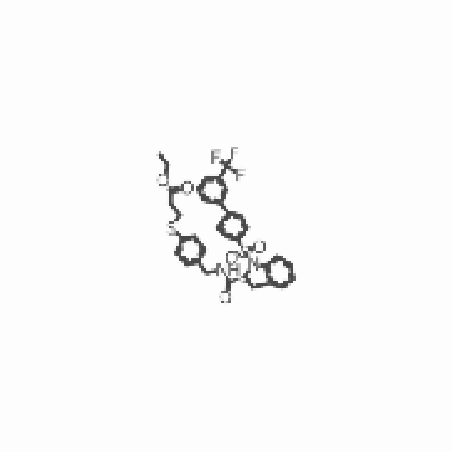 CCOC(=O)CCSc1ccc(CNC(=O)[C@@H]2Cc3ccccc3N2S(=O)(=O)c2ccc(-c3cccc(C(F)(F)F)c3)cc2)cc1